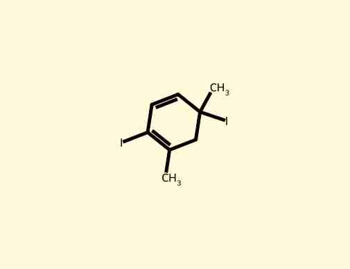 CC1=C(I)C=CC(C)(I)C1